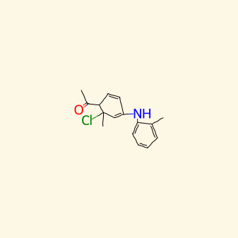 CC(=O)C1C=CC(Nc2ccccc2C)=CC1(C)Cl